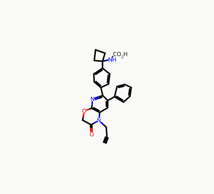 C#CCN1C(=O)COc2nc(-c3ccc(C4(NC(=O)O)CCC4)cc3)c(-c3ccccc3)cc21